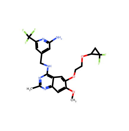 COc1cc2nc(C)nc(NCc3cc(N)nc(C(F)(F)F)c3)c2cc1OCCOC1CC1(F)F